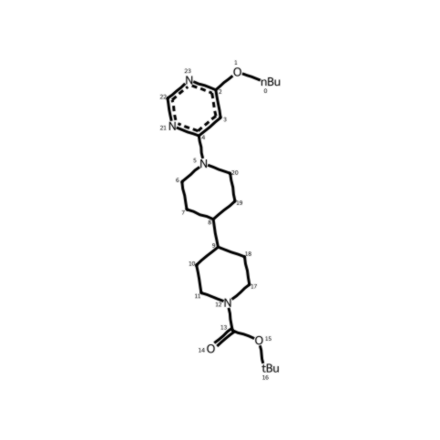 CCCCOc1cc(N2CCC(C3CCN(C(=O)OC(C)(C)C)CC3)CC2)ncn1